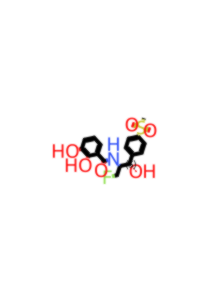 CS(=O)(=O)c1ccc([C@H](O)C(CF)NC(=O)c2cccc(O)c2O)cc1